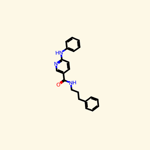 O=C(NCCCc1ccccc1)c1ccc(Nc2ccccc2)nc1